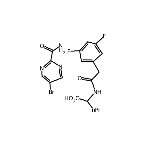 CCCC(NC(=O)Cc1cc(F)cc(F)c1)C(=O)O.NC(=O)c1ncc(Br)cn1